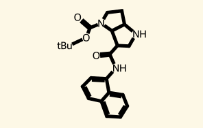 CC(C)(C)OC(=O)N1CCC2NCC(C(=O)Nc3cccc4ccccc34)C21